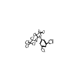 CN1C(=O)C(=NC(Cl)C(Cl)(Cl)Cl)N(c2cc(Cl)cc(Cl)c2)C1=O